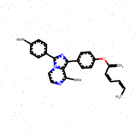 C=C(/C=C\C=C/C)Oc1ccc(-c2nc(-c3ccc(NC)cc3)n3ccnc(NC)c23)cc1